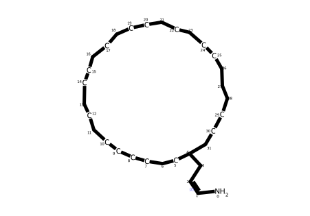 N/C=C\CC1CCCCCCCCCCCCCCCCCCCCCCCCCCC1